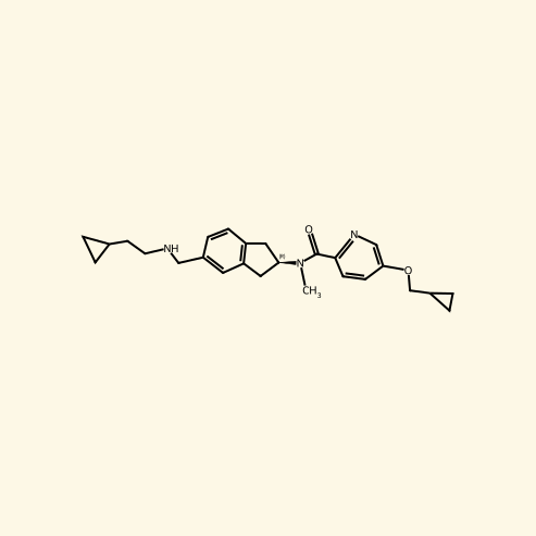 CN(C(=O)c1ccc(OCC2CC2)cn1)[C@@H]1Cc2ccc(CNCCC3CC3)cc2C1